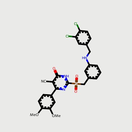 COc1ccc(-c2nc(S(=O)(=O)Cc3cccc(NCc4ccc(Cl)c(Cl)c4)c3)[nH]c(=O)c2C#N)cc1OC